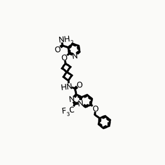 NC(=O)c1cccnc1OC1CC2(CC(NC(=O)c3nc(C(F)(F)F)n4cc(OCc5ccccc5)ccc34)C2)C1